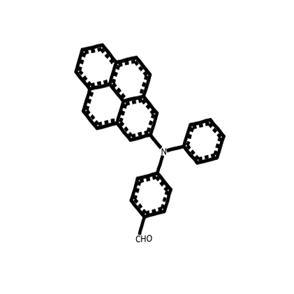 O=Cc1ccc(N(c2ccccc2)c2cc3ccc4cccc5ccc(c2)c3c45)cc1